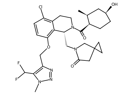 C[C@H]1C[C@@H](O)CC[C@H]1C(=O)N1CCc2c(Cl)ccc(OCc3nnn(C)c3C(F)F)c2[C@H]1CN1CC2(CC2)CC1=O